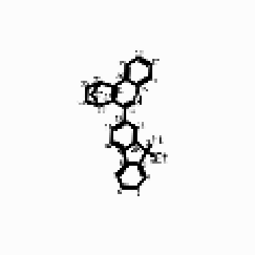 CCC1(CC)c2ccccc2-c2ccc(-c3nc4ccccc4c4c3C3CCC4C3)cc21